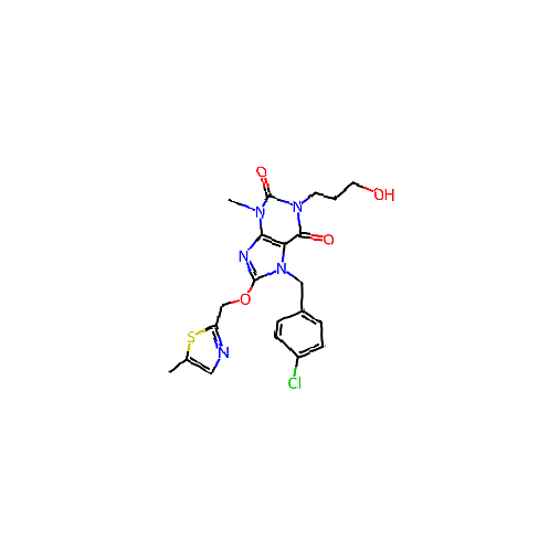 Cc1cnc(COc2nc3c(c(=O)n(CCCO)c(=O)n3C)n2Cc2ccc(Cl)cc2)s1